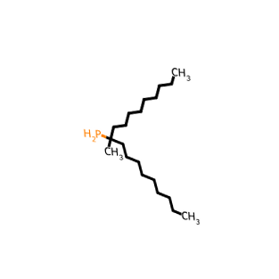 CCCCCCCCCC(C)(P)CCCCCCCCC